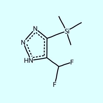 C[Si](C)(C)c1nn[nH]c1C(F)F